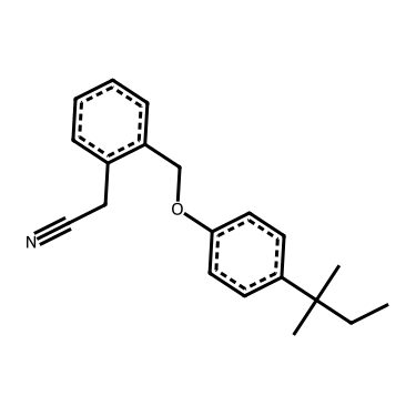 CCC(C)(C)c1ccc(OCc2ccccc2CC#N)cc1